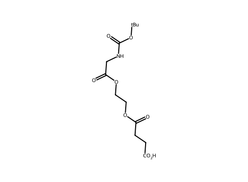 CC(C)(C)OC(=O)NCC(=O)OCCOC(=O)CCC(=O)O